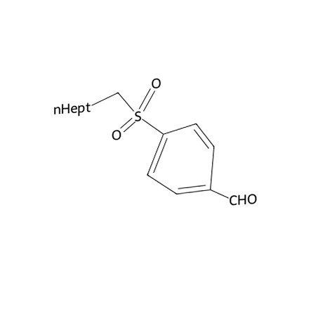 CCCCCCCCS(=O)(=O)c1ccc(C=O)cc1